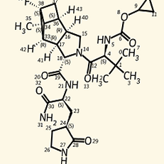 CC(C)(C)[C@H](NC(=O)OC1CC1)C(=O)N1C[C@H]2[C@@H]([C@H]1C(=O)N[C@@H](C[C@@H]1CCNC1=O)C(N)=O)[C@@H]1[C@]3(C)[C@H]2C[C@]13F